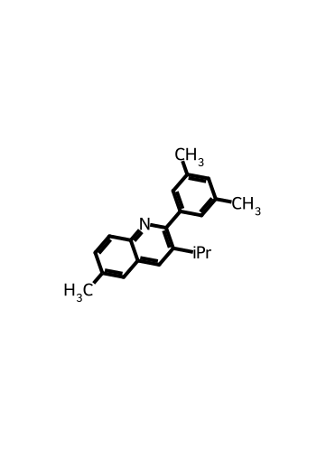 Cc1cc(C)cc(-c2nc3ccc(C)cc3cc2C(C)C)c1